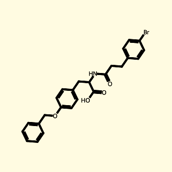 O=C(CCc1ccc(Br)cc1)NC(Cc1ccc(OCc2ccccc2)cc1)C(=O)O